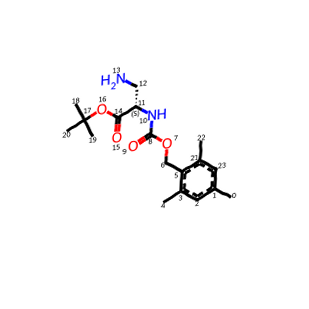 Cc1cc(C)c(COC(=O)N[C@@H](CN)C(=O)OC(C)(C)C)c(C)c1